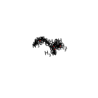 CNc1cc(-c2ccc3cc(C#N)cnn23)ncc1-c1nnc([C@H]2CC[C@H](NC(=O)CCOCCOc3cc(-c4scnc4C)ccc3CNC(=O)C3C[C@@H](O)CC3C(=O)[C@@H](NC(=O)C3(F)CC3)C(C)(C)C)CC2)s1